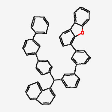 c1ccc(-c2cccc(-c3ccc(C(c4cccc(-c5cccc(-c6cccc7c6oc6ccccc67)c5)c4)c4cccc5ccccc45)cc3)c2)cc1